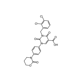 O=C(O)c1cn(-c2ccc(N3CCCOC3=O)cc2)c(=O)n(Cc2cccc(Cl)c2Cl)c1=O